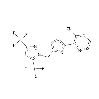 FC(F)(F)c1cc(C(F)(F)F)n(Cc2ccn(-c3ncccc3Cl)n2)n1